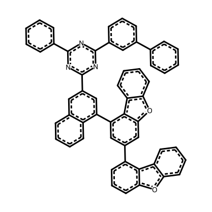 c1ccc(-c2cccc(-c3nc(-c4ccccc4)nc(-c4cc(-c5cc(-c6cccc7oc8ccccc8c67)cc6oc7ccccc7c56)c5ccccc5c4)n3)c2)cc1